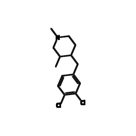 CC1CN(C)CCC1Cc1ccc(Cl)c(Cl)c1